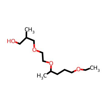 CCOCCCC(C)OCCOCC(C)CO